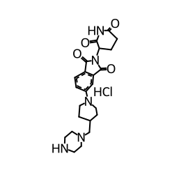 Cl.O=C1CCC(N2C(=O)c3ccc(N4CCC(CN5CCNCC5)CC4)cc3C2=O)C(=O)N1